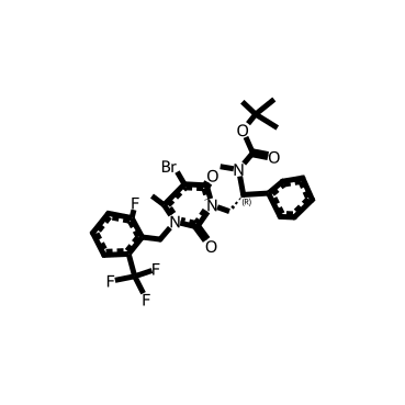 Cc1c(Br)c(=O)n(C[C@@H](c2ccccc2)N(C)C(=O)OC(C)(C)C)c(=O)n1Cc1c(F)cccc1C(F)(F)F